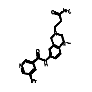 CC(C)c1cncc(C(=O)Nc2ccc3c(c2)CN(CCC(N)=O)C[C@@H]3C)c1